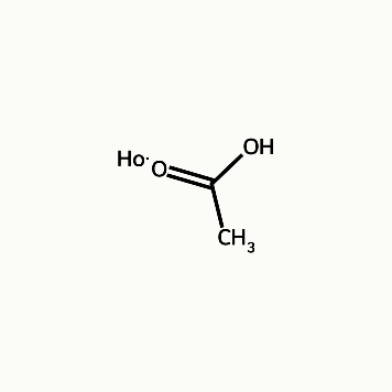 CC(=O)O.[Ho]